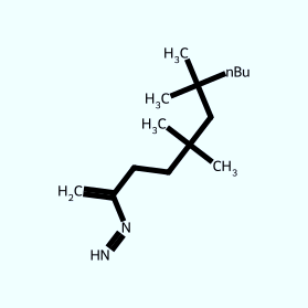 C=C(CCC(C)(C)CC(C)(C)CCCC)N=N